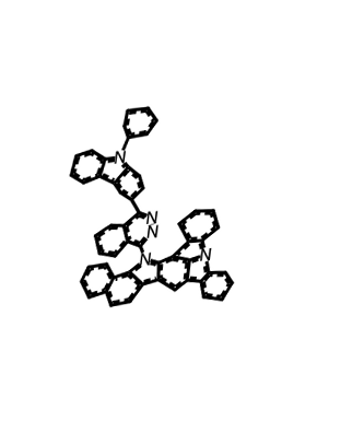 c1ccc(-n2c3ccccc3c3cc(-c4nnc(-n5c6c7ccccc7ccc6c6cc7c8ccccc8n8c9ccccc9c(c65)c78)c5ccccc45)ccc32)cc1